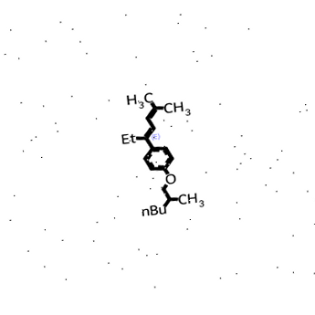 CCCCC(C)COc1ccc(/C(=C/C=C(C)C)CC)cc1